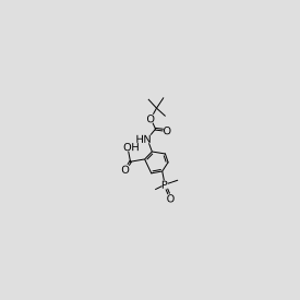 CC(C)(C)OC(=O)Nc1ccc(P(C)(C)=O)cc1C(=O)O